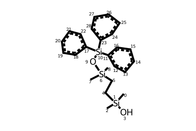 C[Si](C)(O)CC[Si](C)(C)O[Si](c1ccccc1)(c1ccccc1)c1ccccc1